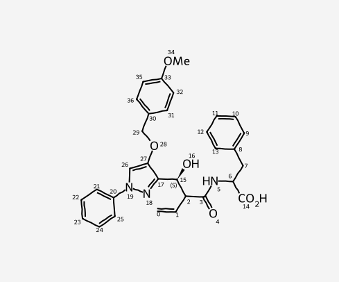 C=CC(C(=O)NC(Cc1ccccc1)C(=O)O)[C@H](O)c1nn(-c2ccccc2)cc1OCc1ccc(OC)cc1